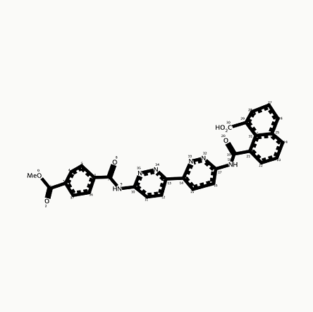 COC(=O)c1ccc(C(=O)Nc2ccc(-c3ccc(NC(=O)c4cccc5cccc(C(=O)O)c45)nn3)nn2)cc1